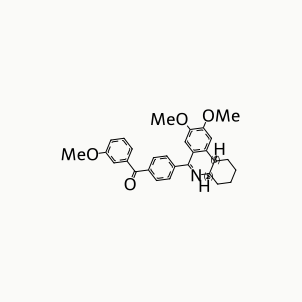 COc1cccc(C(=O)c2ccc(C3=N[C@H]4CCCC[C@H]4c4cc(OC)c(OC)cc43)cc2)c1